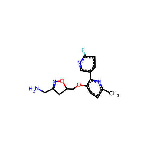 Cc1ccc(OCC2CC(CN)=NO2)c(-c2ccc(F)nc2)n1